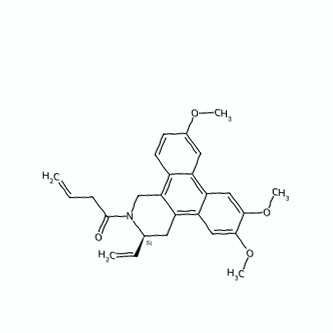 C=CCC(=O)N1Cc2c(c3cc(OC)c(OC)cc3c3cc(OC)ccc23)C[C@H]1C=C